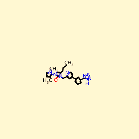 CCCCc1cn(-c2c(C)ccn2C)c(=O)n1Cc1cc(-c2cccc(-c3nnn[nH]3)c2)ccn1